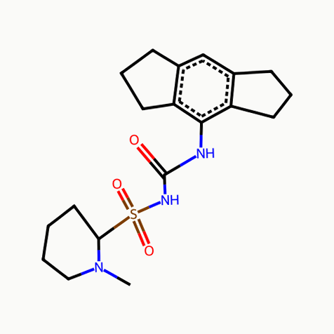 CN1CCCCC1S(=O)(=O)NC(=O)Nc1c2c(cc3c1CCC3)CCC2